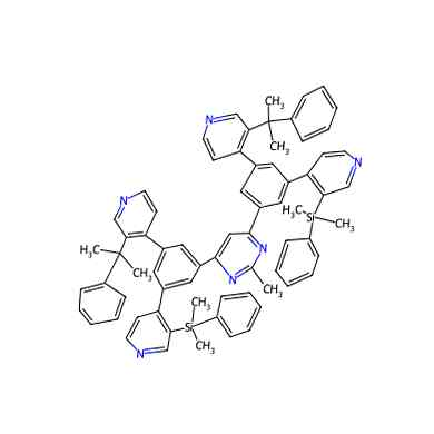 Cc1nc(-c2cc(-c3ccncc3C(C)(C)c3ccccc3)cc(-c3ccncc3[Si](C)(C)c3ccccc3)c2)cc(-c2cc(-c3ccncc3C(C)(C)c3ccccc3)cc(-c3ccncc3[Si](C)(C)c3ccccc3)c2)n1